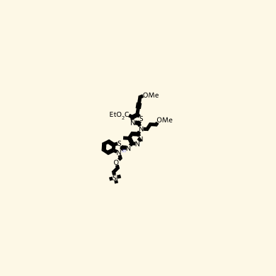 CCOC(=O)c1nc(N(CCCOC)c2cc(C)c(/N=c3\sc4ccccc4n3COCC[Si](C)(C)C)nn2)sc1C#CCOC